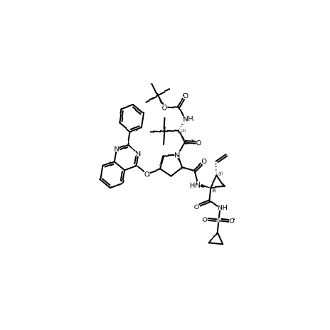 C=C[C@@H]1C[C@]1(NC(=O)C1CC(Oc2nc(-c3ccccc3)nc3ccccc23)CN1C(=O)[C@@H](NC(=O)OC(C)(C)C)C(C)(C)C)C(=O)NS(=O)(=O)C1CC1